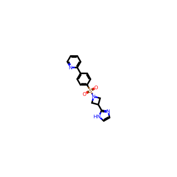 O=S(=O)(c1ccc(-c2ccccn2)cc1)N1CC(c2ncc[nH]2)C1